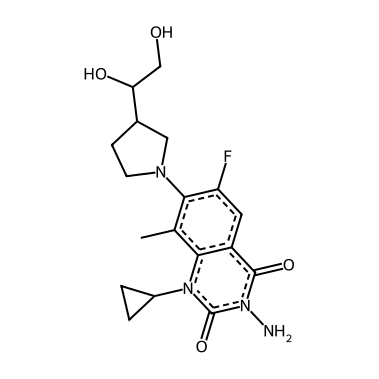 Cc1c(N2CCC(C(O)CO)C2)c(F)cc2c(=O)n(N)c(=O)n(C3CC3)c12